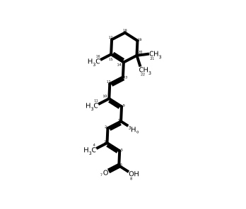 [3H]C(=CC(C)=CC(=O)O)C=C(C)C=CC1=C(C)CCCC1(C)C